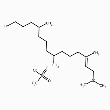 CC(=CC[S+](C)C)CCCC(C)CCCC(C)CCCC(C)C.O=S(=O)([O-])C(F)(F)F